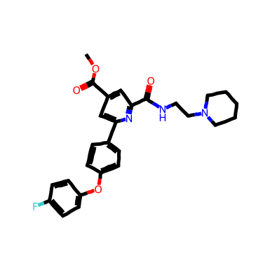 COC(=O)c1cc(C(=O)NCCN2CCCCC2)nc(-c2ccc(Oc3ccc(F)cc3)cc2)c1